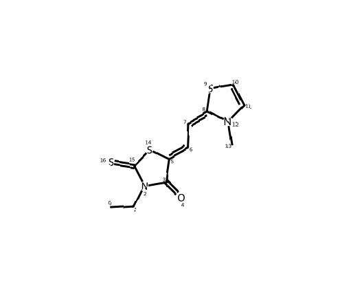 CCN1C(=O)C(=CC=C2SC=CN2C)SC1=S